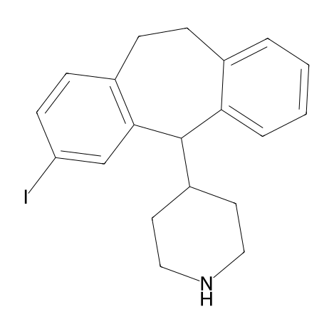 Ic1ccc2c(c1)C(C1CCNCC1)c1ccccc1CC2